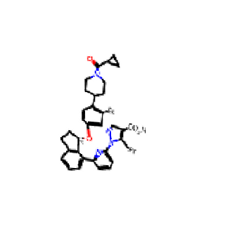 CCc1cc(O[C@H]2CCc3cccc(-c4cccc(-n5ncc(C(=O)O)c5C(C)C)n4)c32)ccc1C1CCN(C(=O)C2CC2)CC1